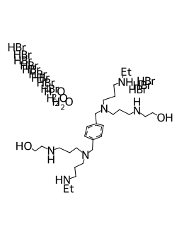 Br.Br.Br.Br.Br.Br.Br.Br.Br.Br.Br.Br.CCNCCCN(CCCNCCO)Cc1ccc(CN(CCCNCC)CCCNCCO)cc1.O.O.O